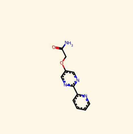 NC(=O)COc1cnc(-c2ccccn2)nc1